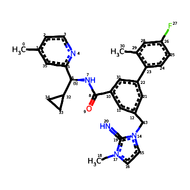 Cc1ccnc([C@@H](NC(=O)c2cc(Cn3ccn(C)c3=N)cc(-c3ccc(F)cc3C)c2)C2CC2)c1